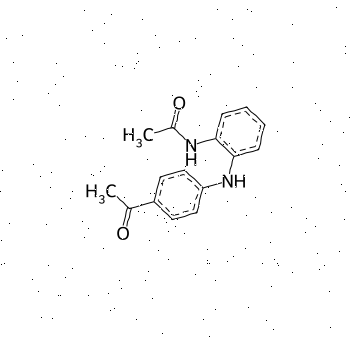 CC(=O)Nc1ccccc1Nc1ccc(C(C)=O)cc1